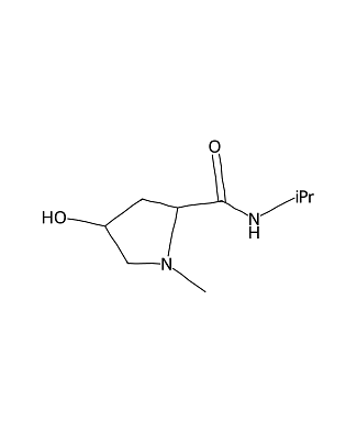 CC(C)NC(=O)C1CC(O)CN1C